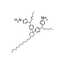 CCCCCCCCCCCC1CCC(c2ccc(C(CCCCC)c3ccc(N)cc3)cc2)(c2ccc(C(CCCCC)c3ccc(N)cc3)cc2)CC1